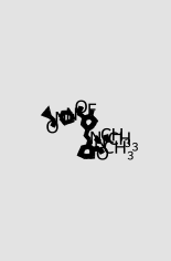 CC(C)(C)n1nc(Cc2ccc(F)c(C(=O)N3CCN(C(=O)C4CC4)CC3)c2)c2ccccc2c1=O